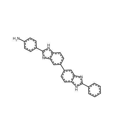 Nc1ccc(-c2nc3cc(-c4ccc5[nH]c(-c6ccccc6)nc5c4)ccc3[nH]2)cc1